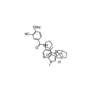 COc1ccc(C(=O)Nc2cnc3c(c([C@@H]4C5CC[C@H]4CN(C(=O)C4CCCC4)C5)cn3C)c2C)cc1C#N